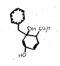 O=C(O)C1C=CC(O)=CC1(O)Cc1ccccc1